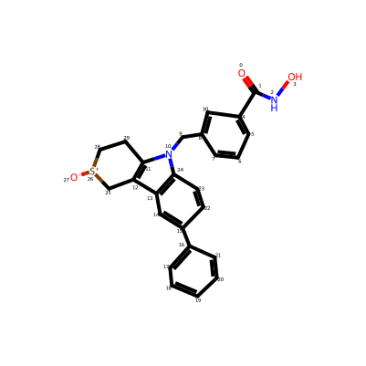 O=C(NO)c1cccc(Cn2c3c(c4cc(-c5ccccc5)ccc42)C[S+]([O-])CC3)c1